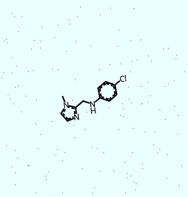 Cn1ccnc1CNc1ccc(Cl)cc1